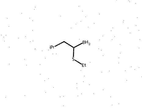 BC(CC(C)C)SCC